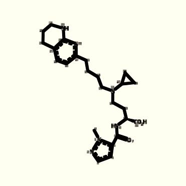 Cn1nccc1C(=O)N[C@@H](CCN(CCCCc1ccc2c(n1)NCCC2)C1CC1)C(=O)O